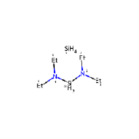 CCN(CC)[SiH2]N(CC)CC.[SiH4]